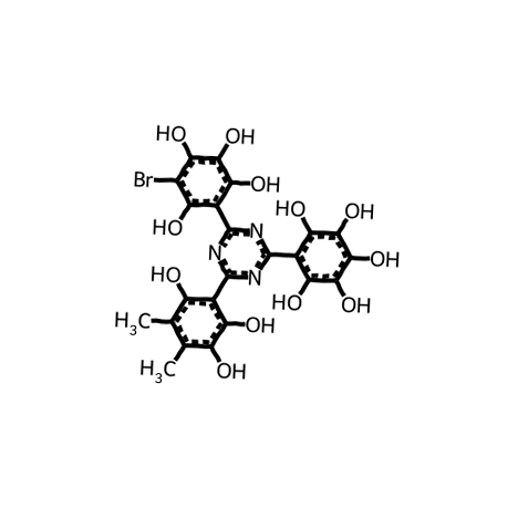 Cc1c(C)c(O)c(-c2nc(-c3c(O)c(O)c(O)c(O)c3O)nc(-c3c(O)c(O)c(O)c(Br)c3O)n2)c(O)c1O